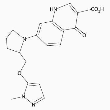 Cn1nccc1OCC1CCCN1c1ccc2c(=O)c(C(=O)O)c[nH]c2c1